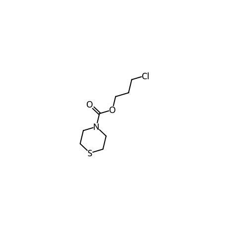 O=C(OCCCCl)N1CCSCC1